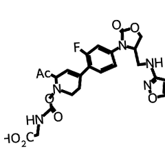 CC(=O)C1C=C(c2ccc(N3C(=O)OCC3CNc3ccon3)cc2F)CCN1OC(=O)NCC(=O)O